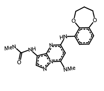 CNC(=O)Nc1cnn2c(NC)cc(Nc3cccc4c3OCCCO4)nc12